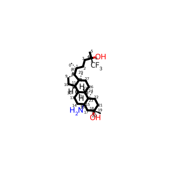 C[C@H](CC[C@](C)(O)C(F)(F)F)[C@H]1CC[C@H]2[C@@H]3CC[C@@]4(N)C[C@@](C)(O)CC[C@]4(C)[C@H]3CC[C@]12C